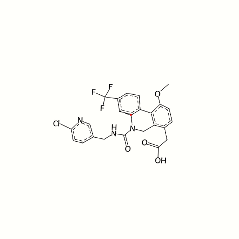 CCN(Cc1c(CC(=O)O)ccc(OC)c1-c1ccc(C(F)(F)F)cc1)C(=O)NCc1ccc(Cl)nc1